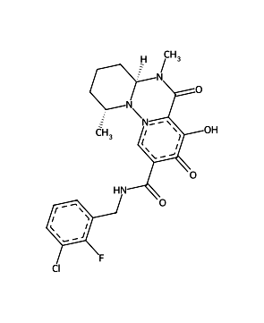 C[C@@H]1CCC[C@H]2N(C)C(=O)c3c(O)c(=O)c(C(=O)NCc4cccc(Cl)c4F)cn3N12